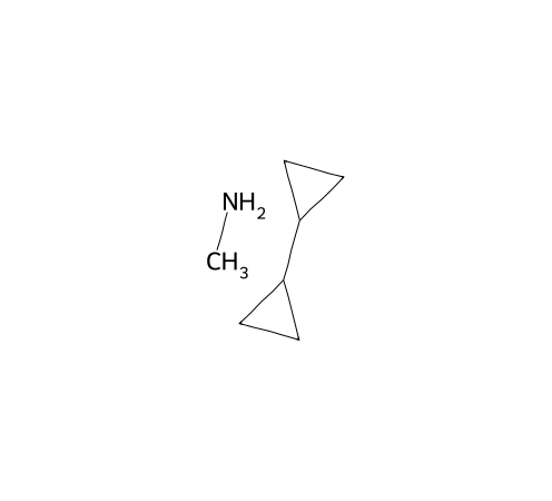 C1CC1C1CC1.CN